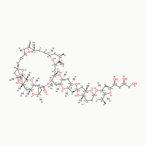 C=C1C[C@@H]2CC[C@]34C[C@@H]5O[C@H]6[C@@H](O3)[C@H]3O[C@H](CC[C@@H]3O[C@H]6[C@@H]5O4)CC(=O)O[C@@H]3[C@@H](C)[C@@H]4O[C@@H]5C[C@]6(C[C@@H]7O[C@]8(C[C@H](C)[C@@H]9O[C@H]([C@@H](O)C[C@@H](O)CO)C[C@@H]9O8)C[C@H](C)[C@@H]7O6)O[C@@H]5C[C@@H]4O[C@H]3C[C@H]3O[C@@H](CC[C@@H]1O2)C[C@@H](C)C3=C